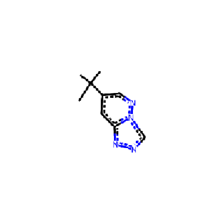 CC(C)(C)c1cnn2cnnc2c1